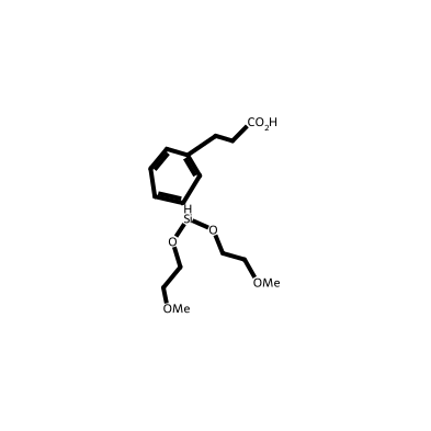 COCCO[SiH](OCCOC)c1cccc(CCC(=O)O)c1